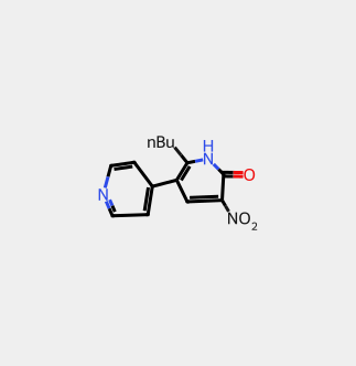 CCCCc1[nH]c(=O)c([N+](=O)[O-])cc1-c1ccncc1